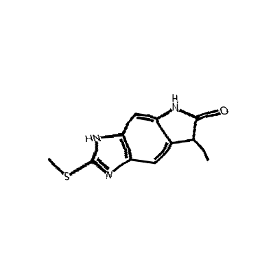 CSc1nc2cc3c(cc2[nH]1)NC(=O)C3C